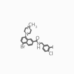 CN1CCN(c2ccc(Br)c3ccc(C(=O)NCc4ccc(Cl)c(I)c4)cc23)CC1